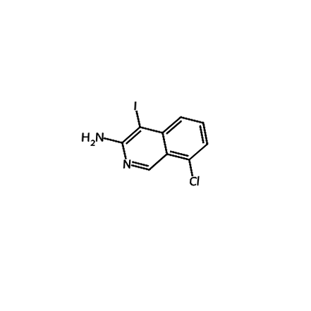 Nc1ncc2c(Cl)cccc2c1I